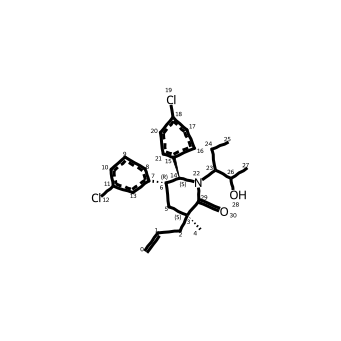 C=CC[C@@]1(C)C[C@H](c2cccc(Cl)c2)[C@@H](c2ccc(Cl)cc2)N(C(CC)C(C)O)C1=O